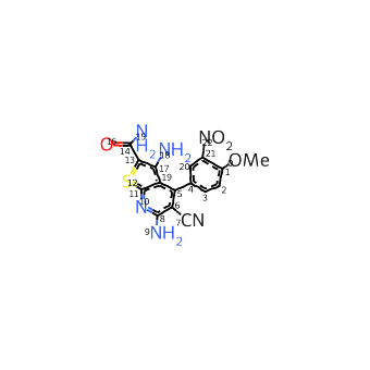 COc1ccc(-c2c(C#N)c(N)nc3sc(C(N)=O)c(N)c23)cc1[N+](=O)[O-]